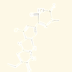 CCc1cc(Oc2c(Cl)cc(-c3nn(C)c(=O)[nH]c3=O)cc2Cl)n[nH]c1=O